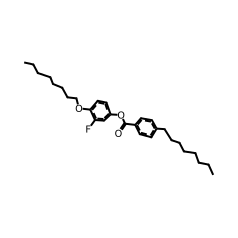 CCCCCCCCOc1ccc(OC(=O)c2ccc(CCCCCCCC)cc2)cc1F